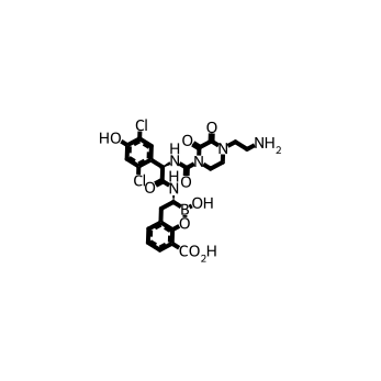 NCCN1CCN(C(=O)N[C@@H](C(=O)N[C@H]2Cc3cccc(C(=O)O)c3OB2O)c2cc(Cl)c(O)cc2Cl)C(=O)C1=O